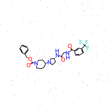 O=C(CNC(=O)c1cccc(C(F)(F)F)c1)N[C@@H]1CCN([C@H]2CCCN(C(=O)OCc3ccccc3)CC2)C1